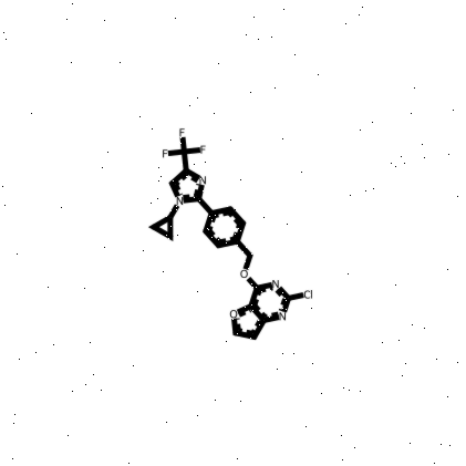 FC(F)(F)c1cn(C2CC2)c(-c2ccc(COc3nc(Cl)nc4ccoc34)cc2)n1